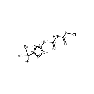 O=C(CCl)NC(=O)Nc1nc(C(F)(F)F)co1